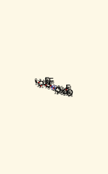 C=CC1CCC(c2ccc(/C=C/c3ccc(-c4ccc(OC)c(F)c4)cc3)c(F)c2F)CC1